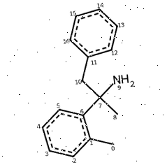 Cc1ccccc1C(C)(N)Cc1ccccc1